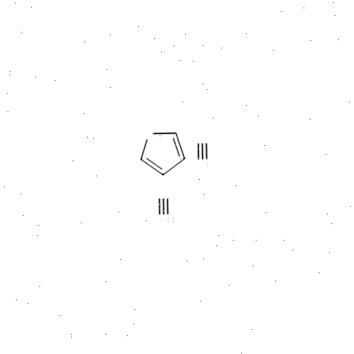 C#C.C#C.c1ccsc1